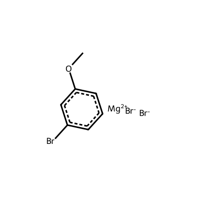 COc1cccc(Br)c1.[Br-].[Br-].[Mg+2]